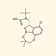 CC1(C)COc2ccc(Cl)c3c2B(O[C@@H]3CN(C(=O)O)C(C)(C)C)O1